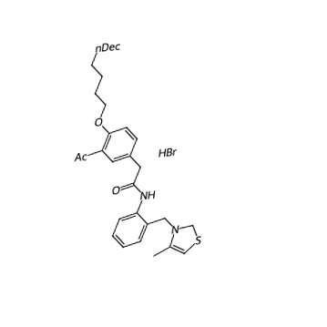 Br.CCCCCCCCCCCCCCOc1ccc(CC(=O)Nc2ccccc2CN2CSC=C2C)cc1C(C)=O